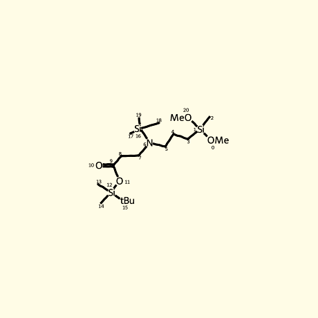 CO[Si](C)(CCCN(CCC(=O)O[Si](C)(C)C(C)(C)C)[Si](C)(C)C)OC